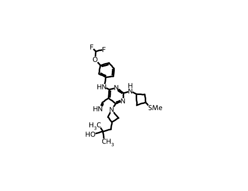 CSC1CC(Nc2nc(Nc3cccc(OC(F)F)c3)c(C=N)c(N3CC(CC(C)(C)O)C3)n2)C1